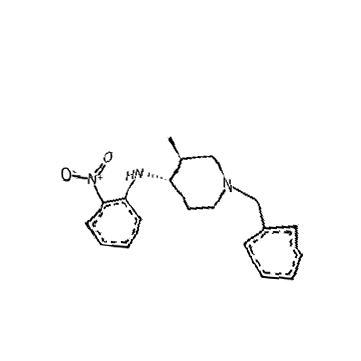 C[C@H]1CN(Cc2ccccc2)CC[C@@H]1Nc1ccccc1[N+](=O)[O-]